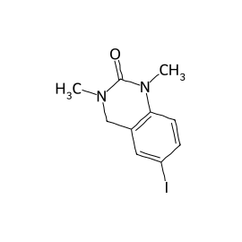 CN1Cc2cc(I)ccc2N(C)C1=O